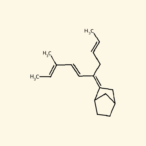 CC=CCC(C=CC(C)=CC)=C1CC2CCC1C2